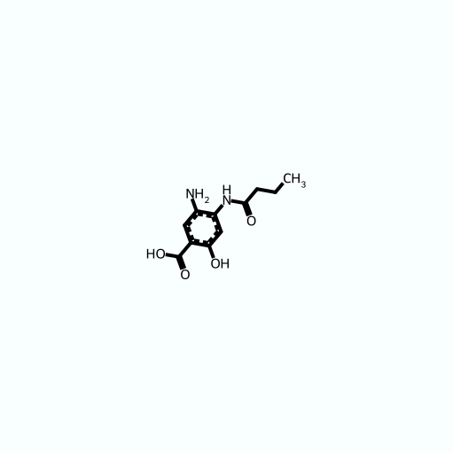 CCCC(=O)Nc1cc(O)c(C(=O)O)cc1N